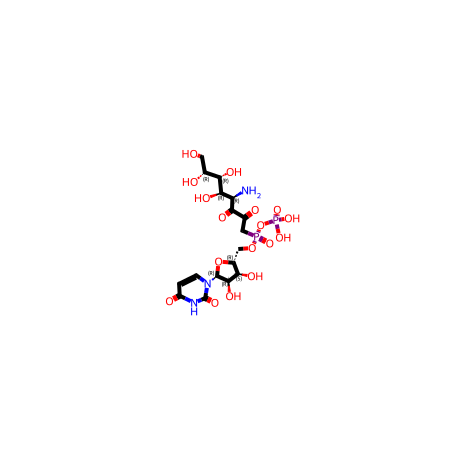 N[C@@H](C(=O)C(=O)CP(=O)(OC[C@H]1O[C@@H](n2ccc(=O)[nH]c2=O)[C@H](O)[C@@H]1O)OP(=O)(O)O)[C@@H](O)[C@@H](O)[C@H](O)CO